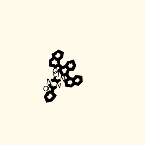 Clc1nc2oc3ccccc3c2nc1-n1c2ccc3ccccc3c2c2c3ccccc3c3c(oc4ccc5ccccc5c43)c21